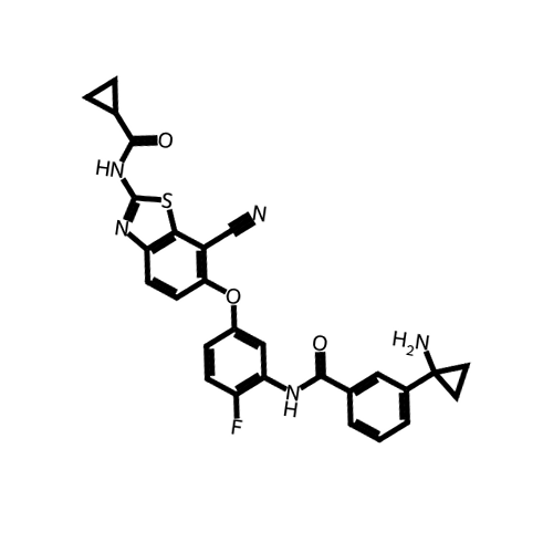 N#Cc1c(Oc2ccc(F)c(NC(=O)c3cccc(C4(N)CC4)c3)c2)ccc2nc(NC(=O)C3CC3)sc12